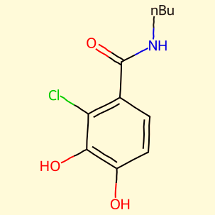 CCCCNC(=O)c1ccc(O)c(O)c1Cl